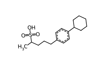 CC(CCCc1ccc(C2CCCCC2)cc1)S(=O)(=O)O